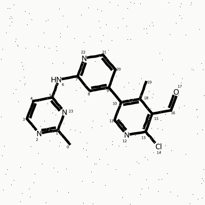 Cc1nccc(Nc2cc(-c3cnc(Cl)c(C=O)c3C)ccn2)n1